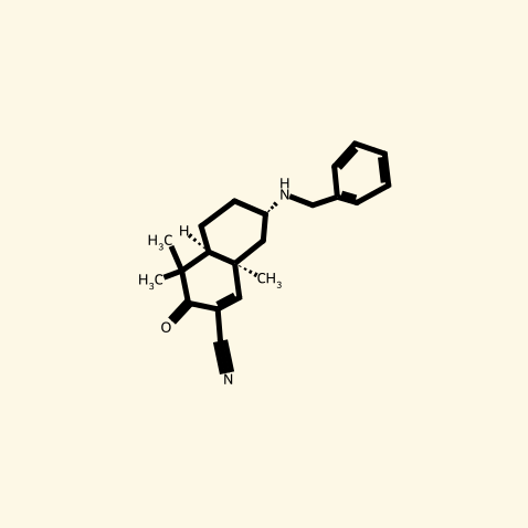 CC1(C)C(=O)C(C#N)=C[C@]2(C)C[C@@H](NCc3ccccc3)CC[C@H]12